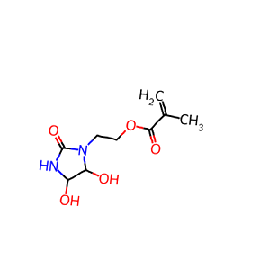 C=C(C)C(=O)OCCN1C(=O)NC(O)C1O